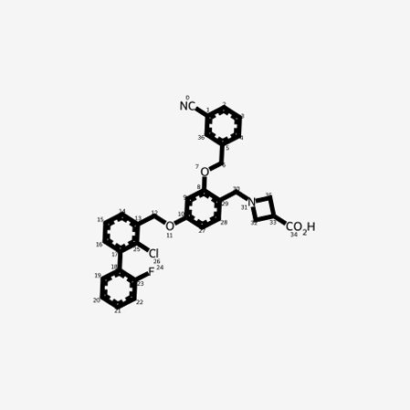 N#Cc1cccc(COc2cc(OCc3cccc(-c4ccccc4F)c3Cl)ccc2CN2CC(C(=O)O)C2)c1